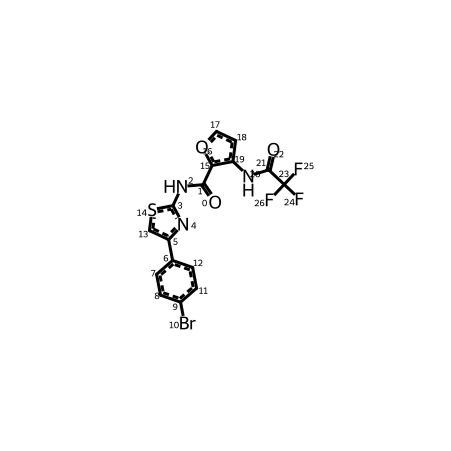 O=C(Nc1nc(-c2ccc(Br)cc2)cs1)c1occc1NC(=O)C(F)(F)F